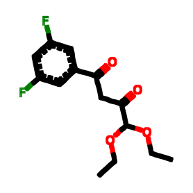 CCOC(OCC)C(=O)CC(=O)c1cc(F)cc(F)c1